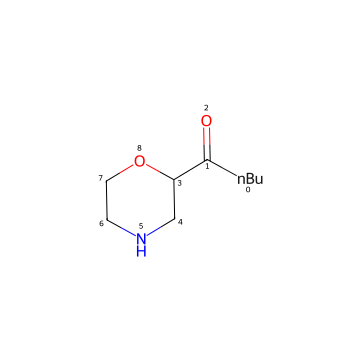 [CH2]CCCC(=O)C1CNCCO1